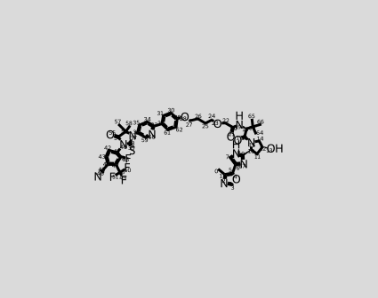 Cc1ncoc1-c1c[nH]c([C@@H]2C[C@@H](O)CN2C(=O)[C@@H](NC(=O)COCCCCOc2ccc(-c3ccc(N4C(=S)N(c5ccc(C#N)c(C(F)(F)F)c5F)C(=O)C4(C)C)cn3)cc2)C(C)(C)C)n1